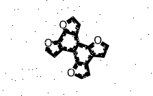 c1cc2c(o1)c1occc1c1c3occc3c3ccoc3c21